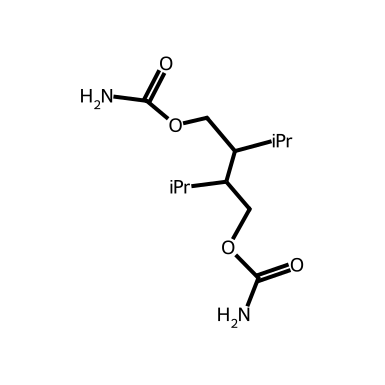 CC(C)C(COC(N)=O)C(COC(N)=O)C(C)C